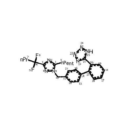 CCCCCc1nc(C(F)(F)CCC)nn1Cc1ccc(-c2ccccc2-c2nnn[nH]2)cc1